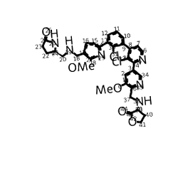 COc1cc(-c2nccc(-c3cccc(-c4ccc(CNC[C@H]5CCC(=O)N5)c(OC)n4)c3Cl)c2Cl)cnc1CN[C@@H]1CCOC1=O